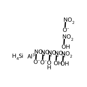 O=[N+]([O-])O.O=[N+]([O-])O.O=[N+]([O-])O.O=[N+]([O-])O.O=[N+]([O-])[O-].O=[N+]([O-])[O-].O=[N+]([O-])[O-].[Al+3].[SiH4]